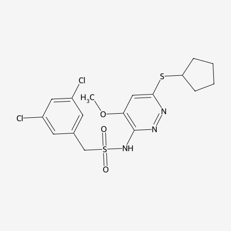 COc1cc(SC2CCCC2)nnc1NS(=O)(=O)Cc1cc(Cl)cc(Cl)c1